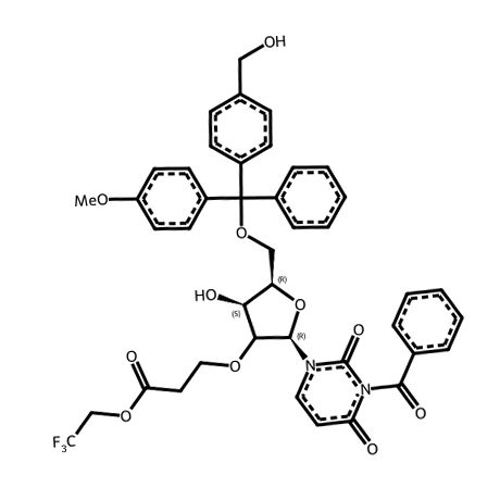 COc1ccc(C(OC[C@H]2O[C@@H](n3ccc(=O)n(C(=O)c4ccccc4)c3=O)C(OCCC(=O)OCC(F)(F)F)[C@H]2O)(c2ccccc2)c2ccc(CO)cc2)cc1